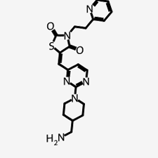 NCC1CCN(c2nccc(C=C3SC(=O)N(CCc4ccccn4)C3=O)n2)CC1